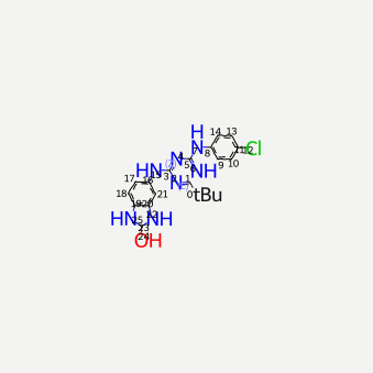 CC(C)(C)/C=N/C(=N\C(=N)Nc1ccc(Cl)cc1)Nc1ccc2c(c1)NC(O)N2